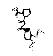 COc1ccc(C(=O)CC(=O)c2ccccc2C(=O)O)cc1OC